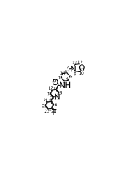 O=C(N[C@H]1CC[C@@H](CN2CCOCC2)CC1)c1ccc(-c2cccc(F)c2)nc1